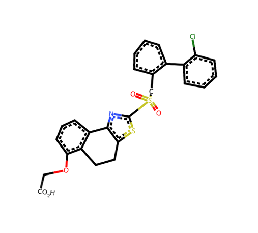 O=C(O)COc1cccc2c1CCc1sc(S(=O)(=O)Cc3ccccc3-c3ccccc3Cl)nc1-2